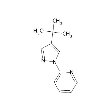 CC(C)(C)c1cnn(-c2ccccn2)c1